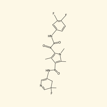 Cc1c(C(=O)NC2=CN=CC(C)(F)C2)c(C)n(C)c1C(=O)C(=O)Nc1ccc(F)c(F)c1